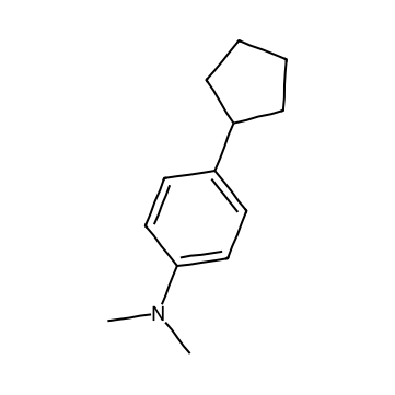 CN(C)c1ccc(C2CCCC2)cc1